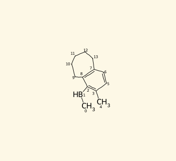 CBc1c(C)ccc2c1CCCCC2